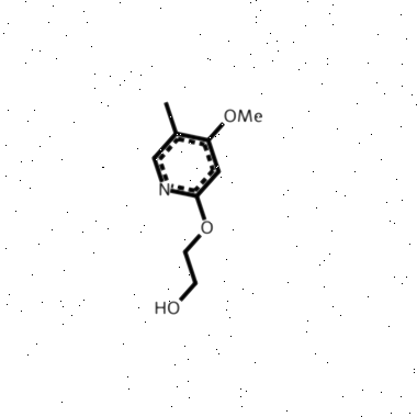 COc1cc(OCCO)ncc1C